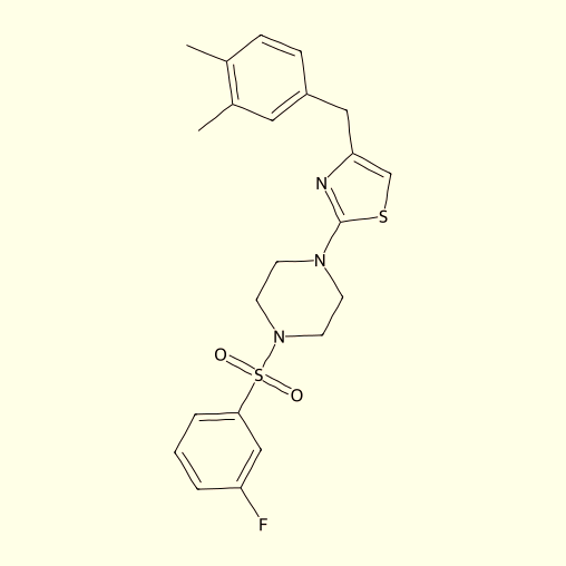 Cc1ccc(Cc2csc(N3CCN(S(=O)(=O)c4cccc(F)c4)CC3)n2)cc1C